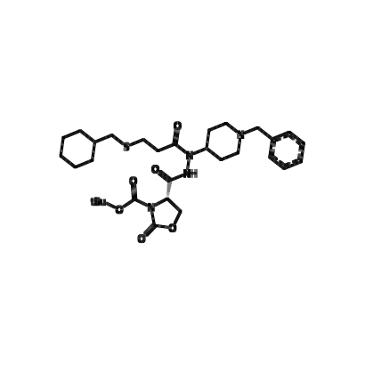 CC(C)(C)OC(=O)N1C(=O)OC[C@H]1C(=O)NN(C(=O)CCSCC1CCCCC1)C1CCN(Cc2ccccc2)CC1